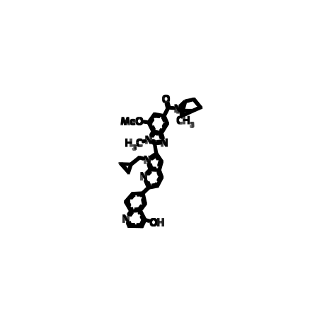 COc1cc(C(=O)N2CC3CCC2[C@@H]3C)cc2nc(-c3cc4ccc(-c5ccc6nccc(O)c6c5)nc4n3CC3CC3)n(C)c12